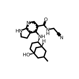 CC1C[C@@H]2C[C@@](O)(CC[C@H]2Nc2c(C(=O)NCC#N)cnc3c2CCN3)C1